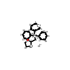 [I-].c1ccc([P+](CC2OCCO2)(c2ccccc2)c2ccccc2)cc1